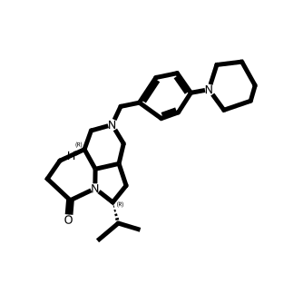 CC(C)[C@H]1CC2CN(Cc3ccc(N4CCCCC4)cc3)C[C@H]3CCC(=O)N1C23